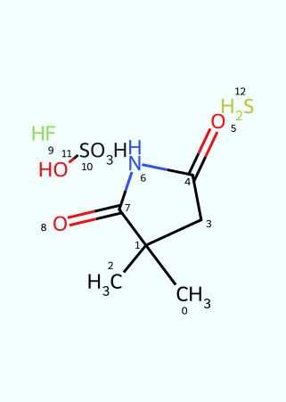 CC1(C)CC(=O)NC1=O.F.O=S(=O)(O)O.S